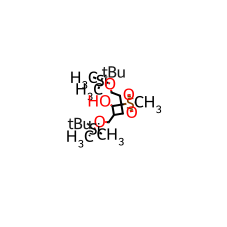 CC(C)(C)[Si](C)(C)OCCC1(S(C)(=O)=O)CC(CO[Si](C)(C)C(C)(C)C)C1O